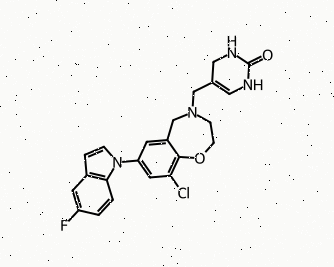 O=C1NC=C(CN2CCOc3c(Cl)cc(-n4ccc5cc(F)ccc54)cc3C2)CN1